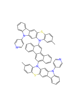 Cc1ccc2c(c1)N(c1cc3c4ccccc4c(N4c5cc(C)ccc5Sc5cc6c7ccccc7n(-c7ccncc7)c6cc54)cc3c3ccccc13)c1cc3c(cc1S2)c1ccccc1n3-c1ccncc1